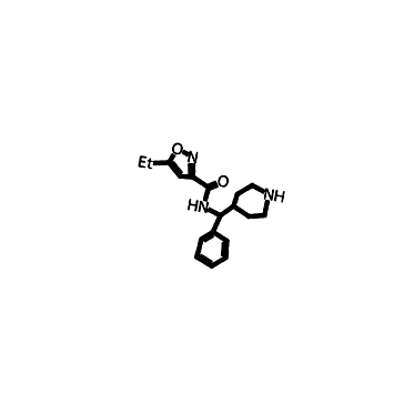 CCc1cc(C(=O)NC(c2ccccc2)C2CCNCC2)no1